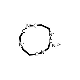 C1C[N-]CC[N-]CCC[N-]CC[N-]C1.[Ni+2]